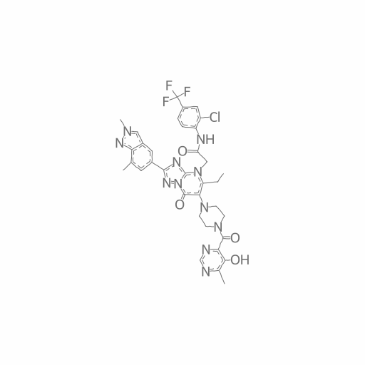 CCc1c(N2CCN(C(=O)c3ncnc(C)c3O)CC2)c(=O)n2nc(-c3cc(C)c4nn(C)cc4c3)nc2n1CC(=O)Nc1ccc(C(F)(F)F)cc1Cl